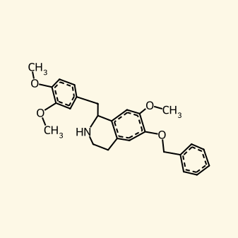 COc1ccc(CC2NCCc3cc(OCc4ccccc4)c(OC)cc32)cc1OC